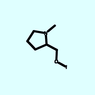 CN1CCCC1COI